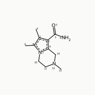 Cc1c(C(N)=O)c2n(c1C)CCN(C)C2